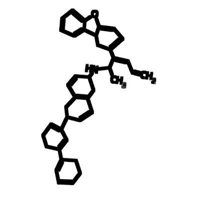 C=C/C=C(/C1=CC=C2Oc3ccccc3C2C1)C(C)NC1C=CC2=C(C=CC(C3=CCCC(C4=CC=CCC4)=C3)C2)C1